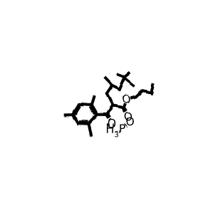 CCCCOC(=O)C(CC(C)CC(C)(C)C)C(=O)c1c(C)cc(C)cc1C.O=[PH3]